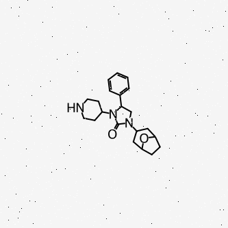 O=C1N(C2CC3CCC(C2)O3)CC(c2ccccc2)N1C1CCNCC1